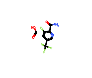 NC(=O)c1ncc(C(F)(F)F)cc1F.O=CO